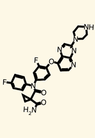 NC(=O)C1(C(=O)N(c2ccc(F)cc2)c2ccc(Oc3ccnc4nc(N5CCNCC5)cnc34)c(F)c2)CC1